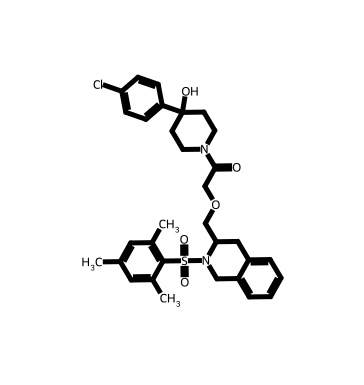 Cc1cc(C)c(S(=O)(=O)N2Cc3ccccc3CC2COCC(=O)N2CCC(O)(c3ccc(Cl)cc3)CC2)c(C)c1